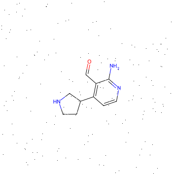 Nc1nccc(C2CCNC2)c1C=O